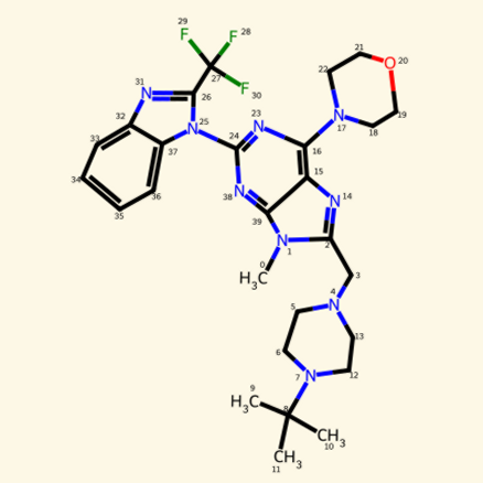 Cn1c(CN2CCN(C(C)(C)C)CC2)nc2c(N3CCOCC3)nc(-n3c(C(F)(F)F)nc4ccccc43)nc21